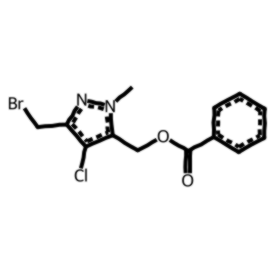 Cn1nc(CBr)c(Cl)c1COC(=O)c1ccccc1